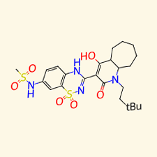 CC(C)(C)CCN1C(=O)C(C2=NS(=O)(=O)c3cc(NS(C)(=O)=O)ccc3N2)=C(O)C2CCCCCC21